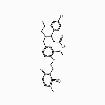 CCCN(Cc1ccc(OCCn2c(=O)ccn(C)c2=O)c(OC)c1)C(CC(=O)O)c1ccc(Cl)cc1